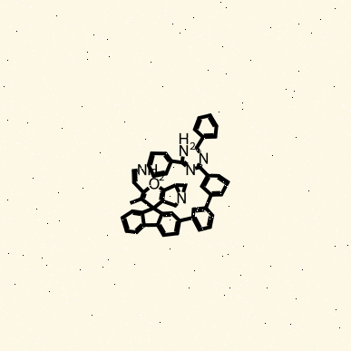 CC1=C(/C=C\N)OC2=C(CN3CC23)C12c1ccccc1-c1ccc(-c3cccc(-c4cccc(C(/N=C(\N)c5ccccc5)=N/Cc5ccccc5)c4)c3)cc12